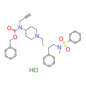 C#CCN(C(=O)OCc1ccccc1)C1CCN(CC[C@H](CN(C)S(=O)(=O)c2ccccc2)c2ccccc2)CC1.Cl